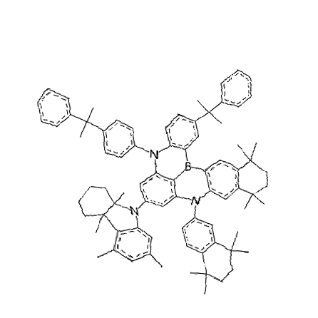 Cc1cc(C)c2c(c1)N(c1cc3c4c(c1)N(c1ccc5c(c1)C(C)(C)CCC5(C)C)c1cc5c(cc1B4c1cc(C(C)(C)c4ccccc4)ccc1N3c1ccc(C(C)(C)c3ccccc3)cc1)C(C)(C)CCC5(C)C)C1(C)CCCCC21C